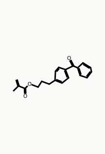 C=C(C)C(=O)OCCCc1ccc(C(=O)c2ccccc2)cc1